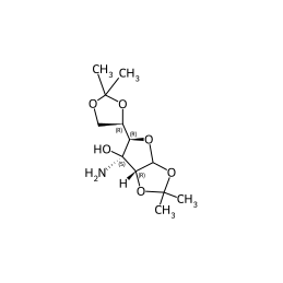 CC1(C)OC[C@H]([C@H]2OC3OC(C)(C)O[C@@H]3[C@@]2(N)O)O1